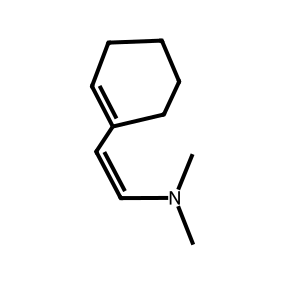 CN(C)/C=C\C1=CCCCC1